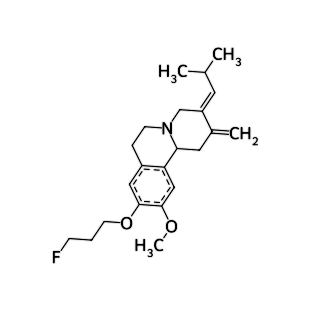 C=C1CC2c3cc(OC)c(OCCCF)cc3CCN2C/C1=C\C(C)C